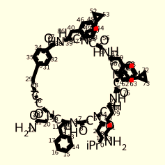 CC(C)CCC(=O)N1CC(=O)N[C@@H](Cc2ccccc2)CN(CC(N)=O)C(=O)CCSCc2ccc(cc2)C(=O)N[C@@H](Cc2ccccc2)CN(CCC2CC2)CC(=O)N[C@@H](Cc2ccccc2)CN(C(=O)CC2CC2)CC(=O)N[C@@H](CCCCN)C1